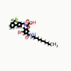 CCCCCCCCCCCCNC(=O)c1ccc(CN(Cc2ccc(-c3ccccc3C(F)(F)F)cc2)C(=O)C(=O)O)c(Br)c1